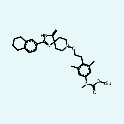 C=C1NC(c2ccc3c(c2)CCCC3)=NC12CCN(OCCc1c(C)cc(N(C)C(=O)OC(C)(C)C)cc1C)CC2